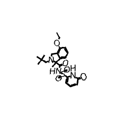 CCOc1cccc2c1CN(CC(C)(C)C)C2(C)C(=O)NS(=O)(=O)c1cccc(=O)[nH]1